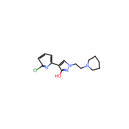 Oc1nn(CCN2CCCCC2)cc1-c1cccc(Cl)n1